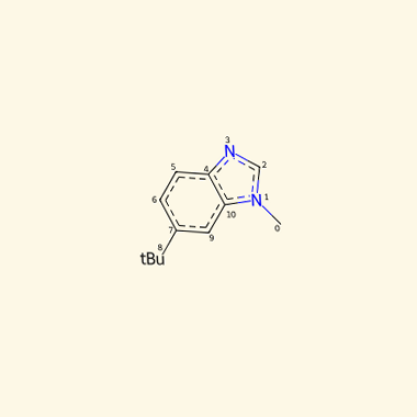 Cn1cnc2ccc(C(C)(C)C)cc21